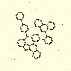 c1ccc(-c2ccc(N(c3ccc(-c4ccccc4-c4cc5ccccc5c5ccccc45)cc3)c3cccc4sc5c6ccccc6ccc5c34)cc2)cc1